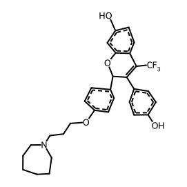 Oc1ccc(C2=C(C(F)(F)F)c3ccc(O)cc3OC2c2ccc(OCCCN3CCCCCC3)cc2)cc1